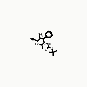 C[C@@H](O)[C@@H](NC(=O)OC(C)(C)C)C(c1ccccc1)C(N)CC#N